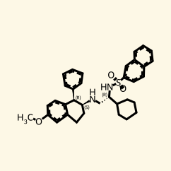 COc1ccc2c(c1)CC[C@H](NC[C@H](NS(=O)(=O)c1ccc3ccccc3c1)C1CCCCC1)[C@@H]2c1ccccc1